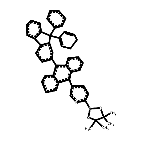 CC1(C)OB(c2ccc(-c3c4ccccc4c(-c4ccc5c(c4)C(C4=CCCC=C4)(c4ccccc4)c4ccccc4-5)c4ccccc34)cn2)OC1(C)C